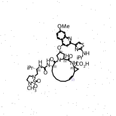 COc1ccc2c(O[C@@H]3C[C@H]4C(=O)N[C@]5(C(=O)O)CC5/C=C\CCCCC[C@H](NC(=O)N[C@H](CN5CCN(C)S5(=O)=O)C(C)C)C(=O)N4C3)cc(-c3csc(NC(C)C)n3)nc2c1